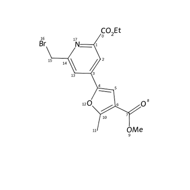 CCOC(=O)c1cc(-c2cc(C(=O)OC)c(C)o2)cc(CBr)n1